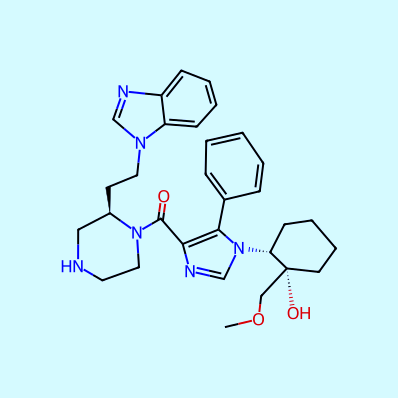 COC[C@]1(O)CCCC[C@H]1n1cnc(C(=O)N2CCNC[C@H]2CCn2cnc3ccccc32)c1-c1ccccc1